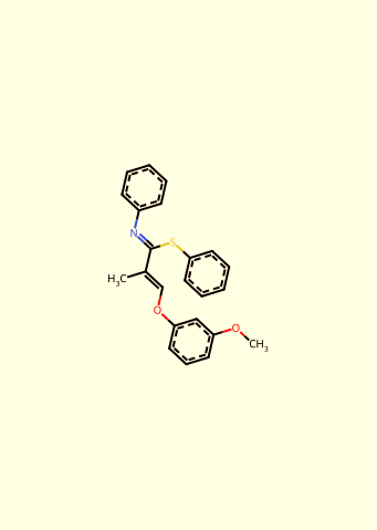 COc1cccc(O/C=C(C)/C(=N/c2ccccc2)Sc2ccccc2)c1